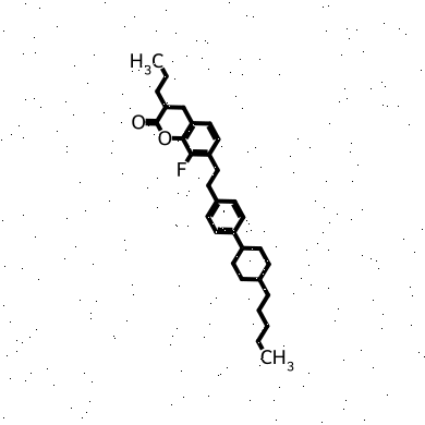 CCCCCC1CCC(c2ccc(CCc3ccc4c(c3F)OC(=O)C(CCC)C4)cc2)CC1